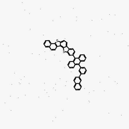 c1cc(-c2ccc3ccccc3c2)cc(-c2c3ccccc3c(-c3ccc4c(c3)sc3c4ccc4sc5c6ccccc6ccc5c43)c3ccccc23)c1